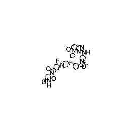 O=C1CCC(N2Cc3cc(N4CCN(Cc5cccc([S+]([O-])N6CCC(Nc7ncc8ccc(=O)n(C9CCCC9)c8n7)CC6)c5)CC4)c(F)cc3C2=O)C(=O)N1